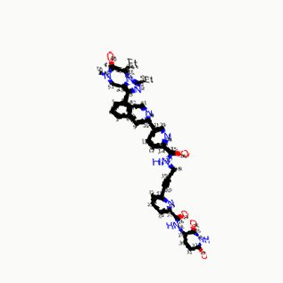 CCc1nc(-c2cccc3cc(-c4ccc(C(=O)NCC#Cc5cccc(C(=O)NC6CCC(=O)NC6=O)n5)nc4)ncc23)c2n1C(CC)C(=O)N(C)C2